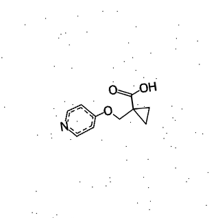 O=C(O)C1(COc2ccncc2)CC1